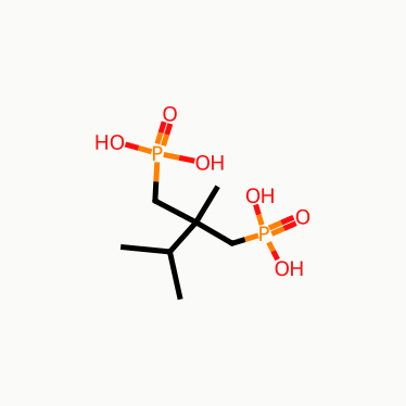 CC(C)C(C)(CP(=O)(O)O)CP(=O)(O)O